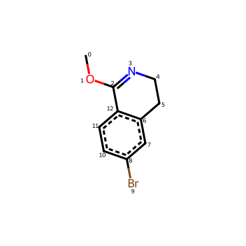 COC1=NCCc2cc(Br)ccc21